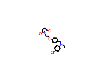 CCN(Cc1ccc(OCCN2C(=O)CCC2=O)cc1)c1ccc(Cl)cc1